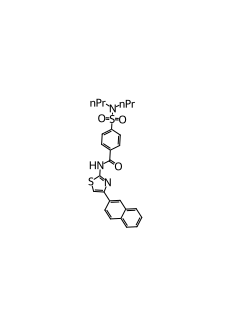 CCCN(CCC)S(=O)(=O)c1ccc(C(=O)Nc2nc(-c3ccc4ccccc4c3)cs2)cc1